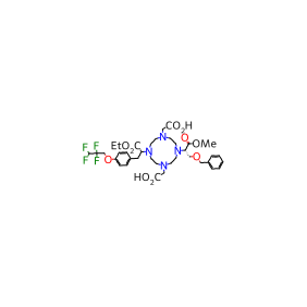 CCOC(=O)C(Cc1ccc(OCC(F)(F)C(F)F)cc1)N1CCN(CC(=O)O)CCN([C@@H](COCc2ccccc2)C(=O)OC)CCN(CC(=O)O)CC1